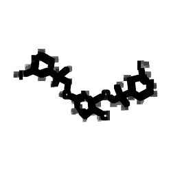 CC(C)(COc1ncc(Cl)c(OCC(C)(C)c2ccnc(F)c2)n1)c1ccnc(F)c1